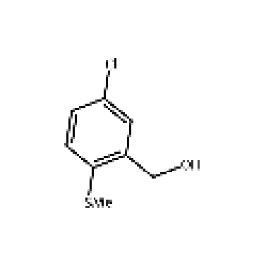 CSc1ccc(Cl)cc1CO